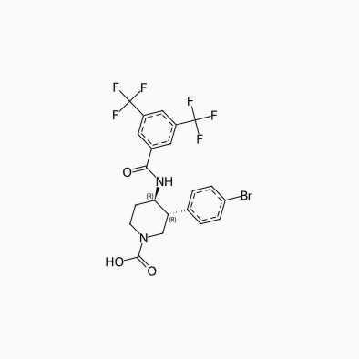 O=C(N[C@@H]1CCN(C(=O)O)C[C@H]1c1ccc(Br)cc1)c1cc(C(F)(F)F)cc(C(F)(F)F)c1